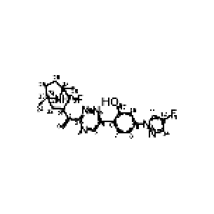 C=C(c1ncc(-c2ccc(-n3cc(F)cn3)cc2O)nn1)[C@H]1C[C@]2(C)CC[C@@](C)(N2)[C@H]1F